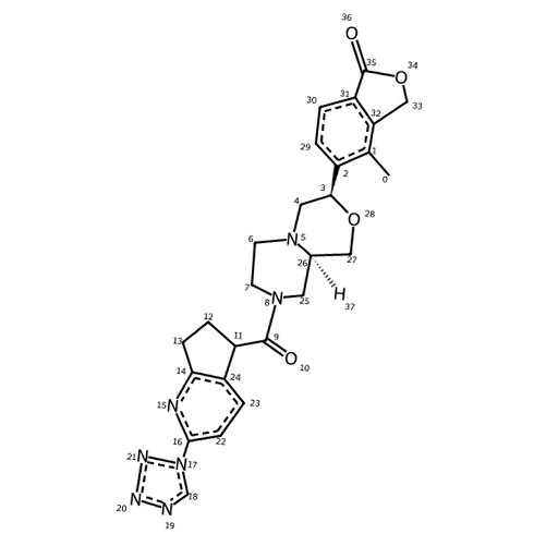 Cc1c([C@@H]2CN3CCN(C(=O)C4CCc5nc(-n6cnnn6)ccc54)C[C@@H]3CO2)ccc2c1COC2=O